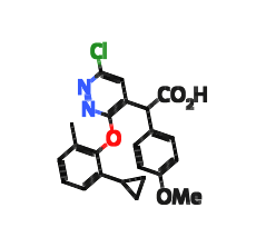 COc1ccc(C(C(=O)O)c2cc(Cl)nnc2Oc2c(C)cccc2C2CC2)cc1